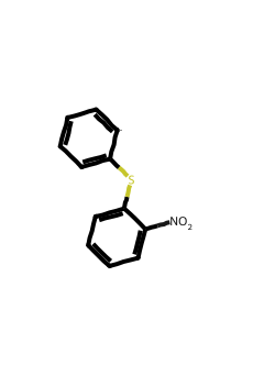 O=[N+]([O-])c1ccccc1Sc1[c]cccc1